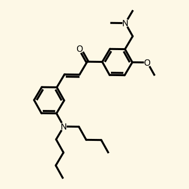 CCCCN(CCCC)c1cccc(C=CC(=O)c2ccc(OC)c(CN(C)C)c2)c1